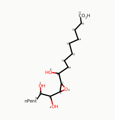 CCCCCC(O)C(O)C1OC1C(O)CCCCCCCC(=O)O